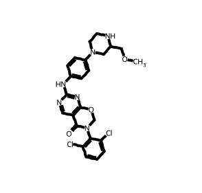 COCC1CN(c2ccc(Nc3ncc4c(n3)OCN(c3c(Cl)cccc3Cl)C4=O)cc2)CCN1